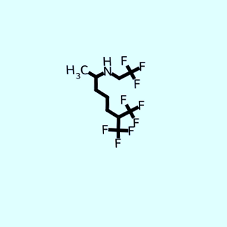 CC(CCCC(C(F)(F)F)C(F)(F)F)NCC(F)(F)F